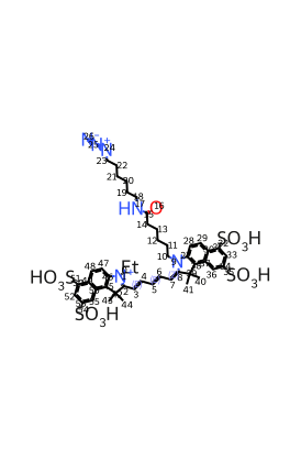 CC[N+]1=C(/C=C/C=C/C=C2\N(CCCCCC(=O)NCCCCCCN=[N+]=[N-])c3ccc4c(S(=O)(=O)O)cc(S(=O)(=O)O)cc4c3C2(C)C)C(C)(C)c2c1ccc1c(S(=O)(=O)O)cc(S(=O)(=O)O)cc21